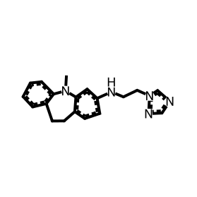 CN1c2ccccc2CCc2ccc(NCCn3cncn3)cc21